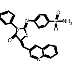 NS(=O)(=O)c1ccc(/N=C2\SC(=Cc3cnc4ccccc4c3)C(=O)N2c2ccccc2)cc1